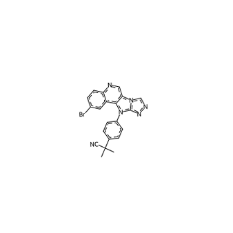 CC(C)(C#N)c1ccc(-n2c3c4cc(Br)ccc4ncc3n3cnnc23)cc1